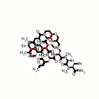 C=C/C=C(\C=C)C[C@@H](C(=O)N[C@@H](COCC1COCCN1)C(=O)N(C)[C@@H](CC)C(=O)N(C)[C@@H](CC(C)C)C(N)=O)N(C)C(=O)[C@H](CC(C)C)N(C)C(=O)[C@H](CC(C)C)NC(=O)[C@H](CC)N(C)C(=O)CC(NC(=O)[C@H](CC(C)C)N(C)C(=O)CN(CCCC)C(=O)CC(C)O)C(=O)N1CCCCC1